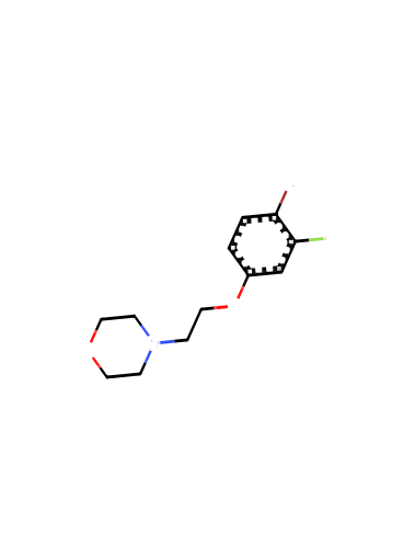 Fc1cc(OCCN2CCOCC2)ccc1Br